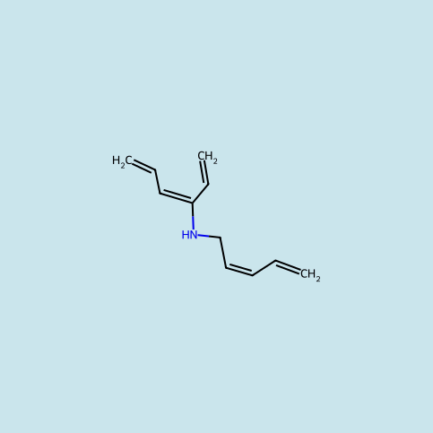 C=C/C=C\CN/C(C=C)=C/C=C